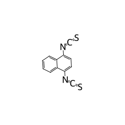 S=C=Nc1ccc(N=C=S)c2ccccc12